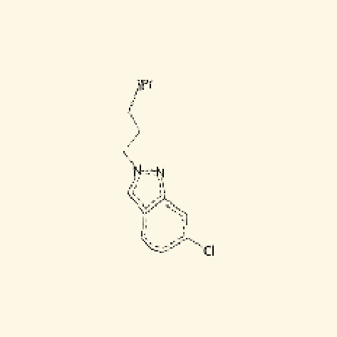 CC(C)CCCn1cc2ccc(Cl)cc2n1